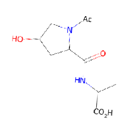 CC(=O)N1CC(O)CC1C(=O)NC(C)C(=O)O